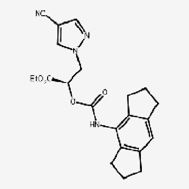 CCOC(=O)[C@@H](Cn1cc(C#N)cn1)OC(=O)Nc1c2c(cc3c1CCC3)CCC2